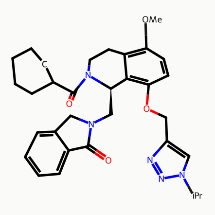 COc1ccc(OCc2cn(C(C)C)nn2)c2c1CCN(C(=O)C1CCCCC1)[C@@H]2CN1Cc2ccccc2C1=O